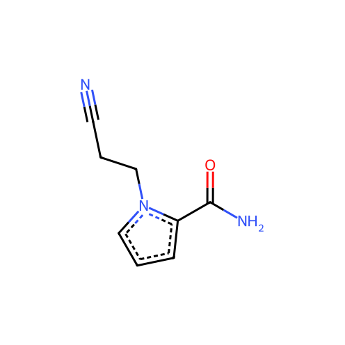 N#CCCn1cccc1C(N)=O